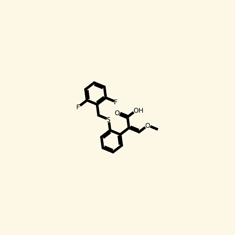 COC=C(C(=O)O)c1ccccc1SCc1c(F)cccc1F